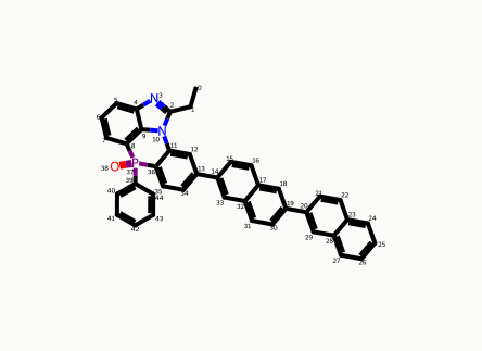 CCc1nc2cccc3c2n1-c1cc(-c2ccc4cc(-c5ccc6ccccc6c5)ccc4c2)ccc1P3(=O)c1ccccc1